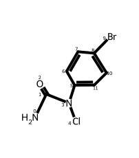 NC(=O)N(Cl)c1ccc(Br)cc1